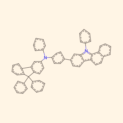 c1ccc(N(c2ccc(-c3ccc4c5ccc6ccccc6c5n(-c5ccccc5)c4c3)cc2)c2ccc3c(c2)-c2ccccc2C3(c2ccccc2)c2ccccc2)cc1